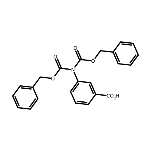 O=C(O)c1cccc(N(C(=O)OCc2ccccc2)C(=O)OCc2ccccc2)c1